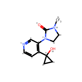 O=C1N(c2cnccc2C2(O)CC2)CCN1C(F)(F)F